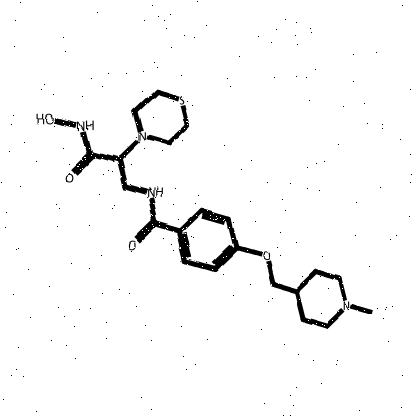 CN1CCC(COc2ccc(C(=O)NCC(C(=O)NO)N3CCSCC3)cc2)CC1